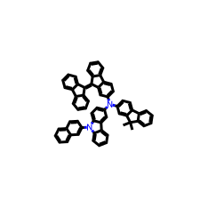 CC1(C)c2ccccc2-c2ccc(N(c3ccc4c(c3)C(=C3c5ccccc5-c5ccccc53)c3ccccc3-4)c3ccc4c(c3)c3ccccc3n4-c3ccc4ccccc4c3)cc21